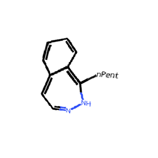 CCCCCC1=c2ccccc2=CC=NN1